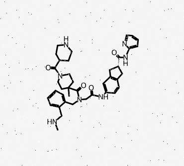 CNCc1ccccc1CN(CC(=O)Nc1ccc2c(c1)C[C@H](C(=O)Nc1ccccn1)C2)C(=O)C1(C)CCN(C(=O)C2CCNCC2)CC1